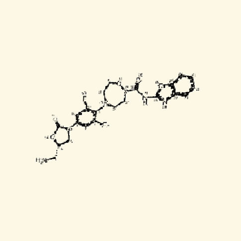 NC[C@H]1CN(c2cc(F)c(N3CCON(C(=O)Nc4nc5ccccc5o4)CC3)c(F)c2)C(=O)O1